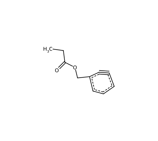 CCC(=O)OCc1c#cccc1